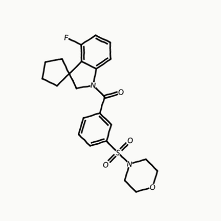 O=C(c1cccc(S(=O)(=O)N2CCOCC2)c1)N1CC2(CCCC2)c2c(F)cccc21